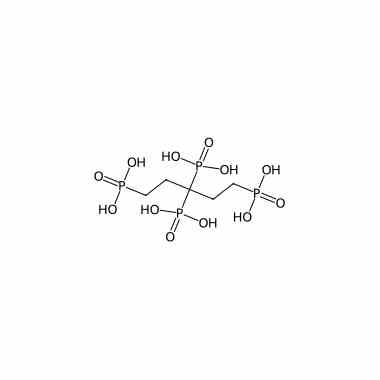 O=P(O)(O)CCC(CCP(=O)(O)O)(P(=O)(O)O)P(=O)(O)O